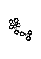 c1ccc([Si]2(c3ccccc3)c3ccccc3N(c3cccc(-c4ccc(-n5c6ccccc6c6ccccc65)cc4)c3)c3ccccc32)cc1